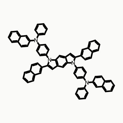 c1ccc(N(c2ccc(-n3c(-c4ccc5ccccc5c4)cc4cc5c(cc(-c6ccc7ccccc7c6)n5-c5ccc(N(c6ccccc6)c6ccc7ccccc7c6)cc5)cc43)cc2)c2ccc3ccccc3c2)cc1